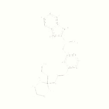 CCCC1(CCOc2ccnc(C[S+]([O-])c3nc4ccccc4[nH]3)c2)OCCCO1